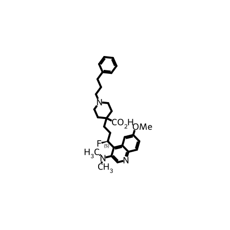 COc1ccc2ncc(N(C)C)c([C@@H](F)CCC3(C(=O)O)CCN(CCCc4ccccc4)CC3)c2c1